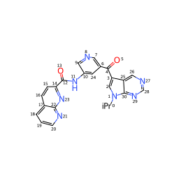 CC(C)n1cc(C(=O)c2cncc(NC(=O)c3ccc4cccnc4n3)c2)c2cncnc21